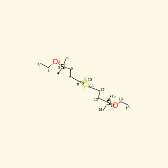 CCO[Si](C)(C)CCC1S2=S1C2CC[Si](C)(C)OCC